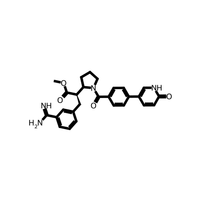 COC(=O)[C@H](Cc1cccc(C(=N)N)c1)C1CCCN1C(=O)c1ccc(-c2ccc(=O)[nH]c2)cc1